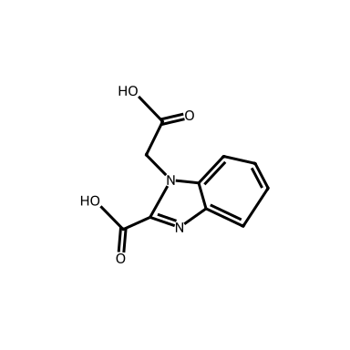 O=C(O)Cn1c(C(=O)O)nc2ccccc21